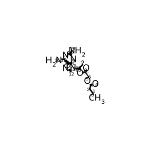 CCCC(=O)OC[C@@H]1OC[C@H](n2cnc3c(N)nc(N)nc32)O1